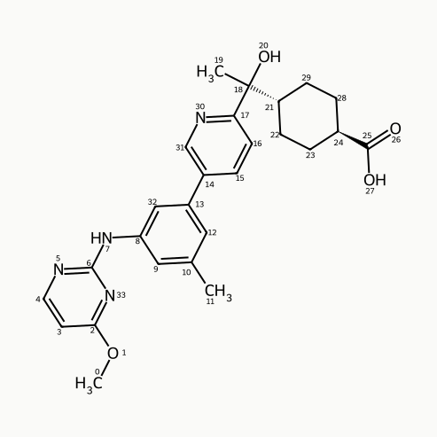 COc1ccnc(Nc2cc(C)cc(-c3ccc(C(C)(O)[C@H]4CC[C@H](C(=O)O)CC4)nc3)c2)n1